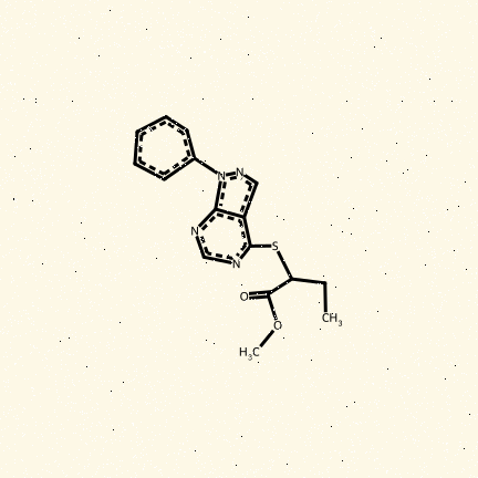 CCC(Sc1ncnc2c1cnn2-c1ccccc1)C(=O)OC